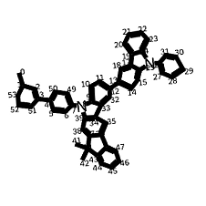 CC1C=C(c2ccc(-n3c4ccc(-c5ccc6c(c5)c5ccccc5n6-c5ccccc5)cc4c4cc5c(cc43)C(C)(C)c3ccccc3-5)cc2)C=CC1